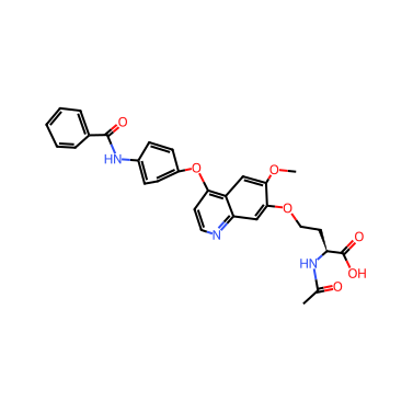 COc1cc2c(Oc3ccc(NC(=O)c4ccccc4)cc3)ccnc2cc1OCC[C@H](NC(C)=O)C(=O)O